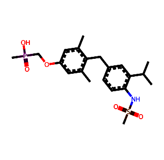 Cc1cc(OCP(C)(=O)O)cc(C)c1Cc1ccc(NS(C)(=O)=O)c(C(C)C)c1